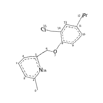 Cc1cccc(COc2ccc(C(C)C)cc2Cl)n1